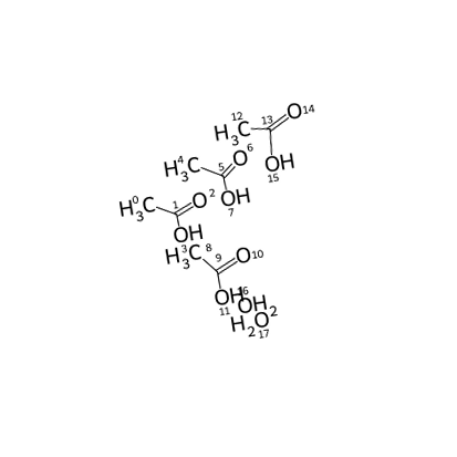 CC(=O)O.CC(=O)O.CC(=O)O.CC(=O)O.O.O